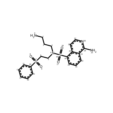 NCCCN(CCS(=O)(=O)c1ccccc1)S(=O)(=O)c1cccc2c(N)nccc12